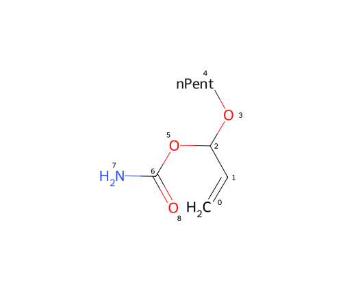 C=CC(OCCCCC)OC(N)=O